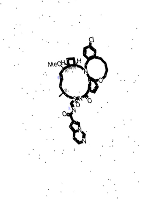 CO[C@H]1/C=C/C[C@H](C)CS(=O)(/C=N/C(=O)c2cc3ccncn3c2)=NC(=O)c2ccc3c(c2)N(Cc2ccc(Cl)cc2CCCCO3)C[C@@H]2CC[C@H]21